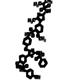 COc1ccc(-c2sc(NS(=O)(=O)C(C)C)nc2C)cc1S(=O)(=O)Nc1ccc(Oc2nc(NS(=O)(=O)c3ccccc3)sc2-c2ccc(OC)c(S(=O)(=O)Nc3ccc(O)cc3)c2)cc1